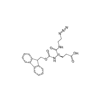 [N-]=[N+]=NCCNC(=O)[C@@H](CCC(=O)O)NC(=O)OCC1c2ccccc2-c2ccccc21